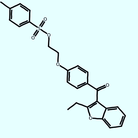 CCc1oc2ccccc2c1C(=O)c1ccc(OCCOS(=O)(=O)c2ccc(C)cc2)cc1